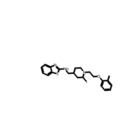 Cc1ccccc1OCCN1CCC(CNc2nc3ccccc3s2)CC1I